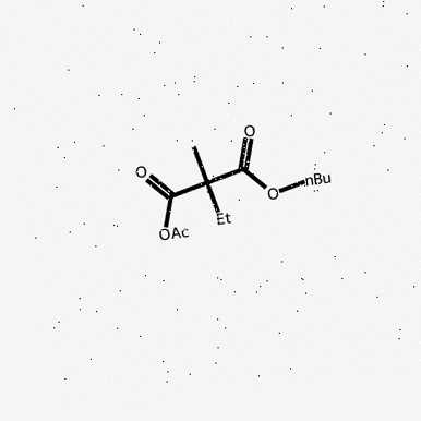 CCCCOC(=O)C(C)(CC)C(=O)OC(C)=O